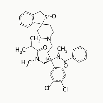 CC(C)C(=O)N(C)C[C@](CCN1CCC2(CC1)c1ccccc1C[S+]2[O-])(c1ccc(Cl)c(Cl)c1)N(C)C(=O)c1ccccc1